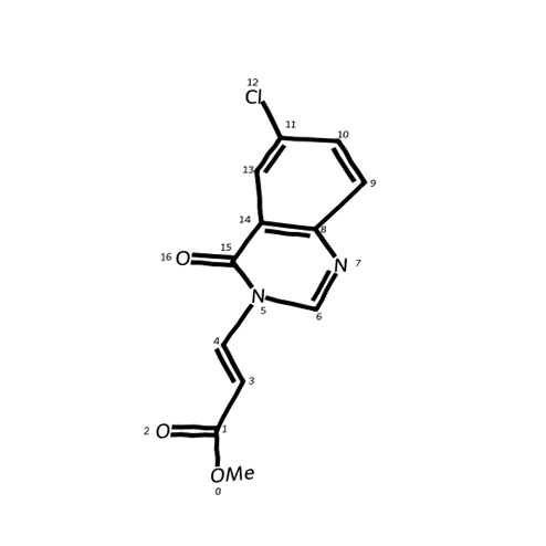 COC(=O)C=Cn1cnc2ccc(Cl)cc2c1=O